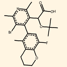 Cc1nc(C)c(C(OC(C)(C)C)C(=O)O)c(-c2cc(F)c3c(c2C)CCCO3)c1Br